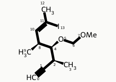 C#C[C@H](C)[C@H](OCOC)[C@@H](C)/C=C(/C)I